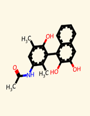 CC(=O)Nc1cc(C)c(O)c(-c2c(O)c(O)cc3ccccc23)c1C